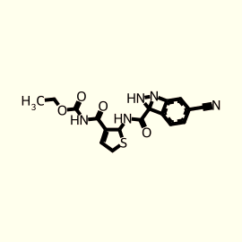 CCOC(=O)NC(=O)C1=CCSC1NC(=O)C12NN1c1cc(C#N)ccc12